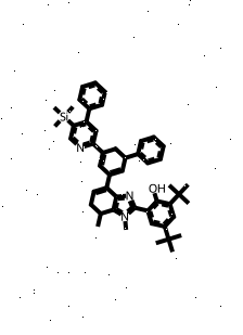 CC1CC=C(C2=CC(c3ccccc3)CC(c3cc(-c4ccccc4)c([Si](C)(C)C)cn3)=C2)c2nc(-c3cc(C(C)(C)C)cc(C(C)(C)C)c3O)n(C)c21